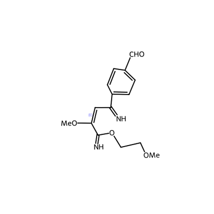 COCCOC(=N)/C(=C\C(=N)c1ccc(C=O)cc1)OC